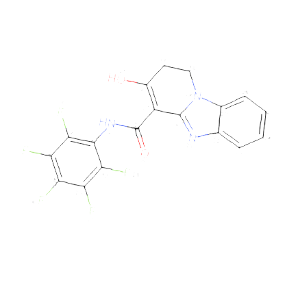 O=C(Nc1c(F)c(F)c(F)c(F)c1F)C1=C(O)CCn2c1nc1ccccc12